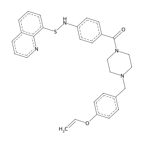 C=COc1ccc(CN2CCN(C(=O)c3ccc(NSc4cccc5cccnc45)cc3)CC2)cc1